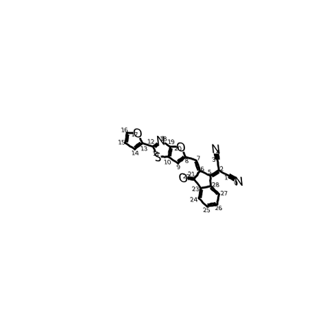 N#CC(C#N)=C1/C(=C/c2cc3sc(-c4ccco4)nc3o2)C(=O)c2ccccc21